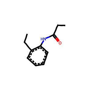 C[CH]C(=O)Nc1ccccc1CC